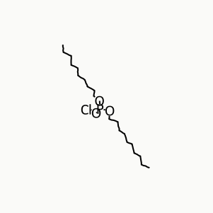 CCCCCCCCCCOP(OCl)OCCCCCCCCCC